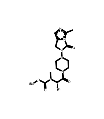 Cc1ncc2n1C(=O)N(N1CCN(C(=O)[C@@H](C(C)C)N(C)C(=O)OC(C)(C)C)CC1)C2